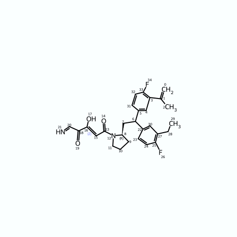 C=C(C)c1cc(C(C[C@H]2CCCN2C(=O)/C=C(\O)C(=O)C=N)c2ccc(F)c(CC)c2)ccc1F